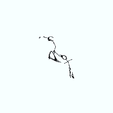 [CH2]CCCC(=O)OC(C)(C)C#N